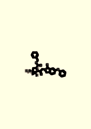 C[C@@]12C[C@@H]1N(C(=O)CN1Cc3ccc(Oc4ccccc4)cc3C1=O)[C@H](C(=O)OCc1ccccc1)C2